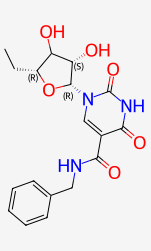 CC[C@H]1O[C@@H](n2cc(C(=O)NCc3ccccc3)c(=O)[nH]c2=O)[C@@H](O)C1O